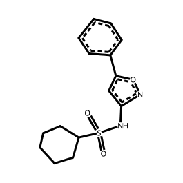 O=S(=O)(Nc1cc(-c2ccccc2)on1)C1CCCCC1